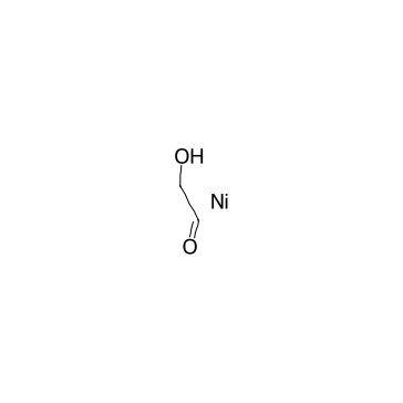 O=CCO.[Ni]